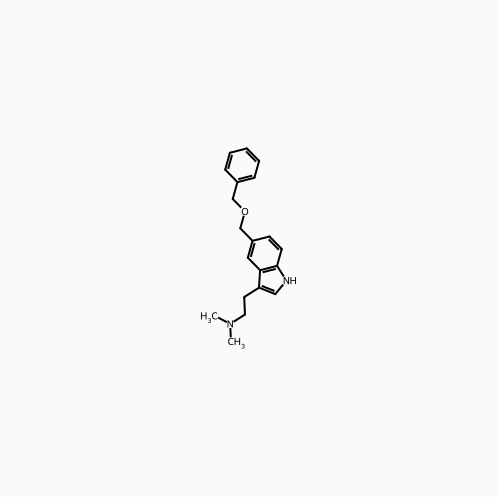 CN(C)CCc1c[nH]c2ccc(COCc3ccccc3)cc12